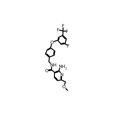 COCc1ccc(C(=O)NCc2ccc(Oc3cc(F)cc(C(F)(F)F)c3)cc2)c(N)n1